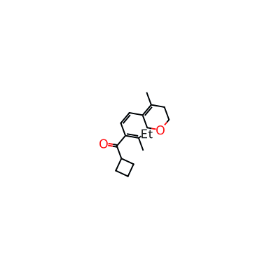 CC/C(C)=C(\C=C/C1=C(C)CCOC1)C(=O)C1CCC1